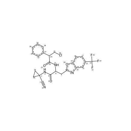 N#CC1(NC(=O)C(Cc2nc3cc(C(F)(F)F)ccc3o2)NC(=O)C(CCl)c2ccccc2)CC1